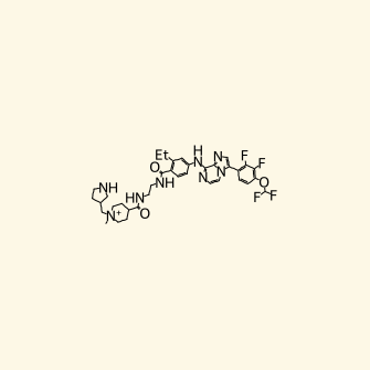 CCc1cc(Nc2nccn3c(-c4ccc(OC(F)F)c(F)c4F)cnc23)ccc1C(=O)NCCNC(=O)C1CC[N+](C)(CC2CCNC2)CC1